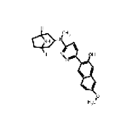 COc1ccc2cc(-c3ccc(N(C)[C@H]4C[C@H]5CC[C@@H](C4)N5)nn3)c(O)cc2c1